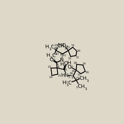 CC(C)(C)[C@@H](NC(=O)C1(C(=O)N[C@H](C(C)(C)C)C2(O)CCCC2)CCC1)C1(O)CCCC1